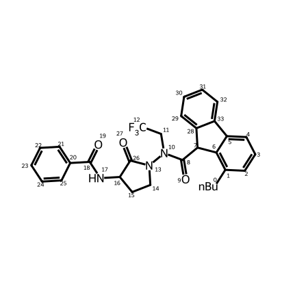 CCCCc1cccc2c1C(C(=O)N(CC(F)(F)F)N1CCC(NC(=O)c3ccccc3)C1=O)c1ccccc1-2